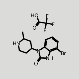 CC1CC(n2c(=O)[nH]c3c(Br)cccc32)CCN1.O=C(O)C(F)(F)F